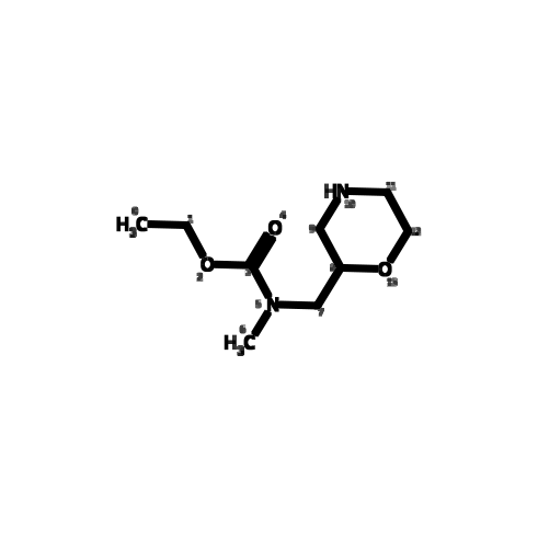 CCOC(=O)N(C)CC1CNCCO1